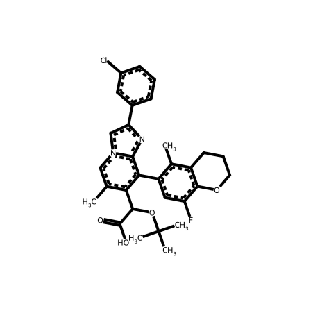 Cc1cn2cc(-c3cccc(Cl)c3)nc2c(-c2cc(F)c3c(c2C)CCCO3)c1C(OC(C)(C)C)C(=O)O